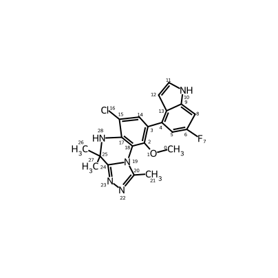 COc1c(-c2cc(F)cc3[nH]ccc23)cc(Cl)c2c1-n1c(C)nnc1C(C)(C)N2